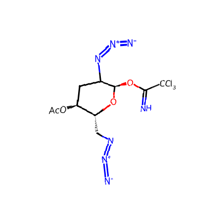 CC(=O)O[C@H]1CC(N=[N+]=[N-])[C@@H](OC(=N)C(Cl)(Cl)Cl)O[C@@H]1CN=[N+]=[N-]